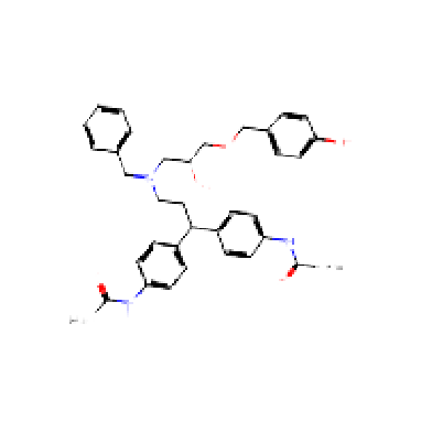 COC(=O)Nc1ccc(C(CCN(Cc2ccccc2)C[C@H](O)COCc2ccc(O)cc2)c2ccc(NC(=O)OC)cc2)cc1